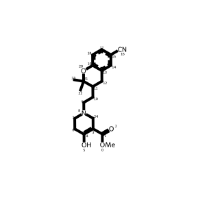 COC(=O)C1=C(O)CCN(CCC2Cc3cc(C#N)ccc3OC2(C)C)C1